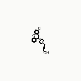 OCC#CCN1CCN(C2Cc3cc(Cl)ccc3Oc3ccccc32)CC1